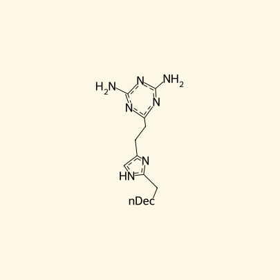 CCCCCCCCCCCc1nc(CCc2nc(N)nc(N)n2)c[nH]1